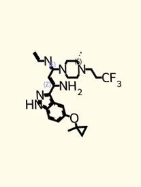 C=C/N=C(\C=C(/N)c1n[nH]c2ccc(OC3(C)CC3)cc12)N1CCN(CCC(F)(F)F)[C@@H](C)C1